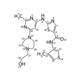 Cc1nc(Nc2ncc(C(=O)Nc3cscc3C)s2)cc(N2CCN(CCO)CC2)n1